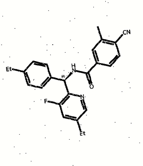 CCc1ccc([C@@H](NC(=O)c2ccc(C#N)c(C)c2)c2ncc(CC)cc2F)cc1